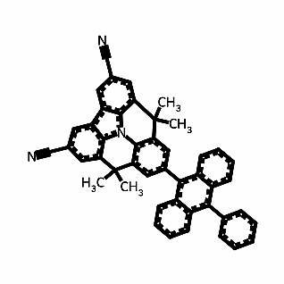 CC1(C)c2cc(-c3c4ccccc4c(-c4ccccc4)c4ccccc34)cc3c2-n2c4c1cc(C#N)cc4c1cc(C#N)cc(c12)C3(C)C